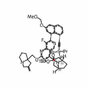 C=C1CN2CCCC2(COc2nc(N3C[C@H]4CC[C@@H](C3)N4C(=O)OC(C)(C)C)c3cnc(-c4cc(OCOC)cc5cccc(C#C[Si](C(C)C)(C(C)C)C(C)C)c45)c(F)c3n2)C1